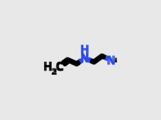 C=CCNCC[N]